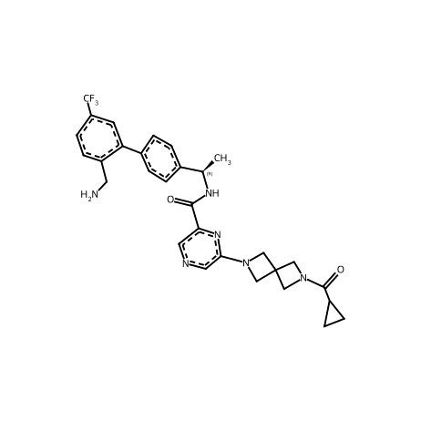 C[C@@H](NC(=O)c1cncc(N2CC3(CN(C(=O)C4CC4)C3)C2)n1)c1ccc(-c2cc(C(F)(F)F)ccc2CN)cc1